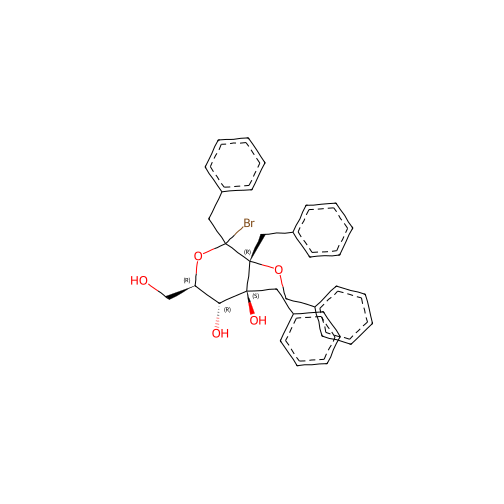 OC[C@H]1OC(Br)(Cc2ccccc2)[C@](Cc2ccccc2)(OCc2ccccc2)[C@](O)(Cc2ccccc2)[C@@H]1O